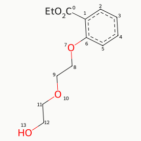 CCOC(=O)c1ccccc1OCCOCCO